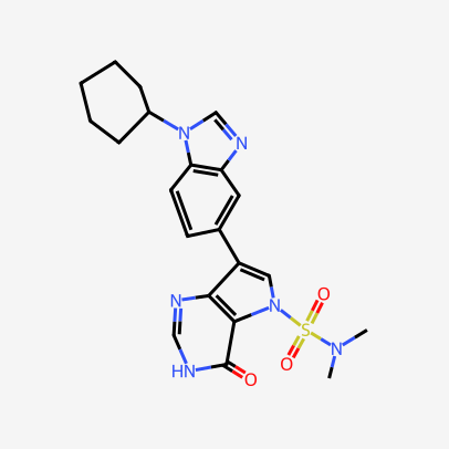 CN(C)S(=O)(=O)n1cc(-c2ccc3c(c2)ncn3C2CCCCC2)c2nc[nH]c(=O)c21